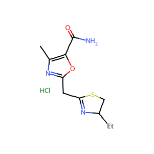 CCC1CSC(Cc2nc(C)c(C(N)=O)o2)=N1.Cl